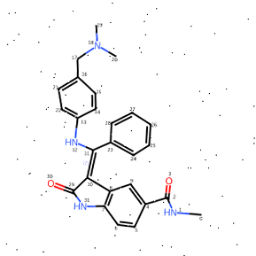 CNC(=O)c1ccc2c(c1)/C(=C(/Nc1ccc(CN(C)C)cc1)c1ccccc1)C(=O)N2